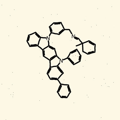 CC1(/C=N/Cc2cccc(-n3c4ccccc4c4cc5c6ccc(-c7ccccc7)cc6n(-c6ccccc6)c5cc43)c2)C=CC=CC1